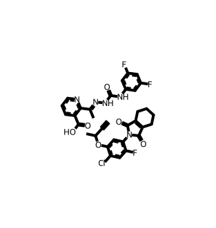 C#CC(C)Oc1cc(N2C(=O)C3=C(CCCC3)C2=O)c(F)cc1Cl.C/C(=N\NC(=O)Nc1cc(F)cc(F)c1)c1ncccc1C(=O)O